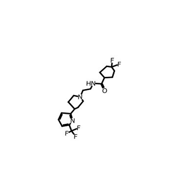 O=C(NCCN1CCC(c2cccc(C(F)(F)F)n2)CC1)C1CCC(F)(F)CC1